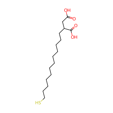 O=C(O)CC(CCCCCCCCCCCCS)C(=O)O